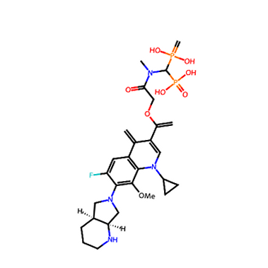 C=C(OCC(=O)N(C)C(P(=C)(O)O)P(=O)(O)O)C1=CN(C2CC2)c2c(cc(F)c(N3C[C@@H]4CCCN[C@@H]4C3)c2OC)C1=C